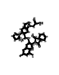 CC(Oc1cc2cc(F)cc(F)c2nc1N1C(=O)c2ccccc2C1=O)c1cc2c(cnn2CC(=O)O)cc1-n1cccn1